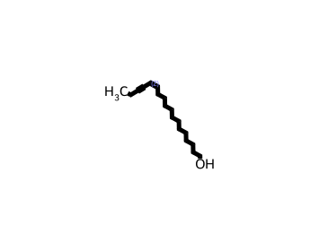 CCC#C/C=C\CCCCCCCCCCCCO